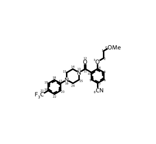 COCCOc1ccc(C#N)cc1C(=O)N1CCN(c2ccc(C(F)(F)F)cc2)CC1